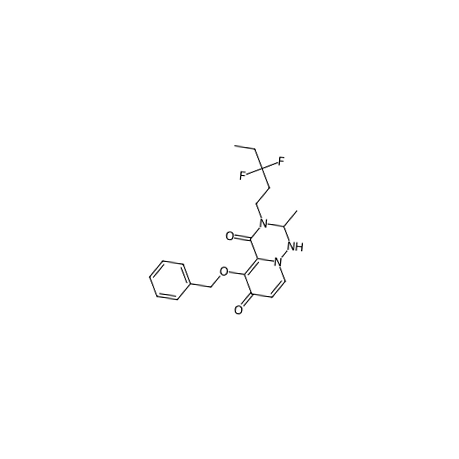 CCC(F)(F)CCN1C(=O)c2c(OCc3ccccc3)c(=O)ccn2NC1C